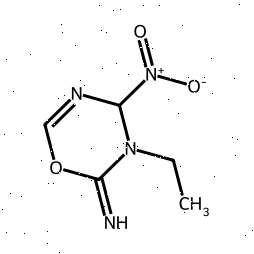 CCN1C(=N)OC=NC1[N+](=O)[O-]